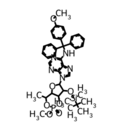 COc1ccc(C(Nc2ncnc3c2ncn3C2OC3C(C)OP(=O)(OC)OC3C2O[Si](C)(C)C(C)(C)C)(c2ccccc2)c2ccccc2)cc1